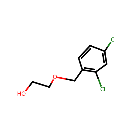 OCCOCc1ccc(Cl)cc1Cl